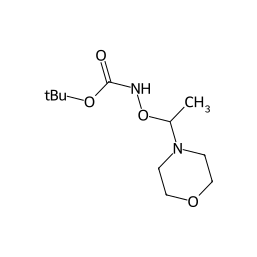 CC(ONC(=O)OC(C)(C)C)N1CCOCC1